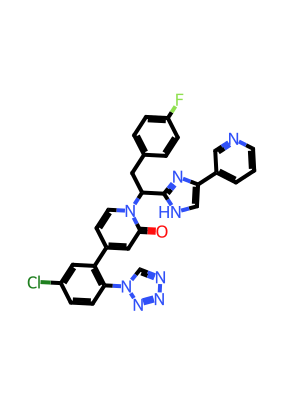 O=c1cc(-c2cc(Cl)ccc2-n2cnnn2)ccn1C(Cc1ccc(F)cc1)c1nc(-c2cccnc2)c[nH]1